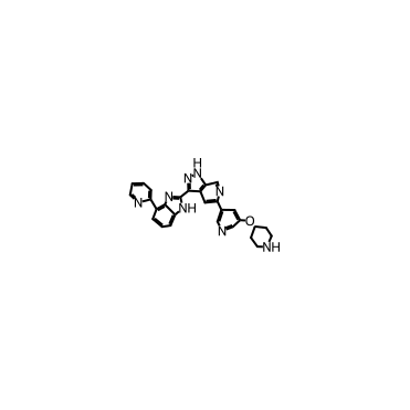 c1ccc(-c2cccc3[nH]c(-c4n[nH]c5cnc(-c6cncc(OC7CCNCC7)c6)cc45)nc23)nc1